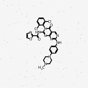 CN1CCN(c2ccc(Nc3ncc4c(=O)n(-c5c(Cl)cccc5Cl)c(NC(=O)c5ncco5)nc4n3)cc2)CC1